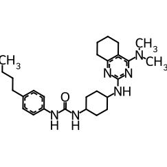 CCCCc1ccc(NC(=O)NC2CCC(Nc3nc4c(c(N(C)C)n3)CCCC4)CC2)cc1